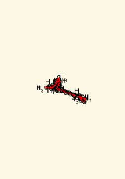 CCCCCC1=CN2C(=O)c3cc(OC)c(OCCCCCOc4cc5c(cc4OC)C(=O)N4C=C(C)C[C@H]4[C@H](O)N5C(=O)OCc4ccc(NC(=O)[C@H](C)NC(=O)[C@@H](NC(=O)CCOCCOCCOCCOCCOCCOCCOCCOCCNC(=O)CCN5C(=O)CC(SC(CC)(CC)CC6CCCCCCCCCCCC6)C5=O)C(C)C)cc4)cc3N=C[C@@H]2C1